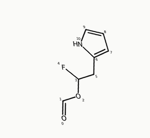 O=COC(F)Cc1ccc[nH]1